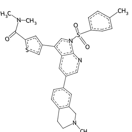 Cc1ccc(S(=O)(=O)n2cc(-c3csc(C(=O)N(C)C)c3)c3cc(-c4ccc5c(c4)CN(C)CC5)cnc32)cc1